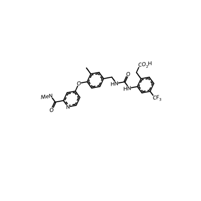 CNC(=O)c1cc(Oc2ccc(CNC(=O)Nc3cc(C(F)(F)F)ccc3CC(=O)O)cc2C)ccn1